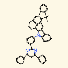 CC1(C)c2ccccc2-c2cc3c4c(c5c(cc4c21)c1ccccc1n5-c1cccc(-c2nc(-c4ccccc4)cc(-c4ccccc4)n2)c1)C=CC3